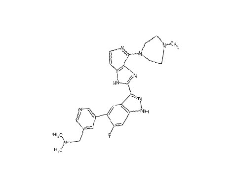 CN(C)Cc1cncc(-c2cc3c(-c4nc5c(N6CCN(C)CC6)nccc5[nH]4)n[nH]c3cc2F)c1